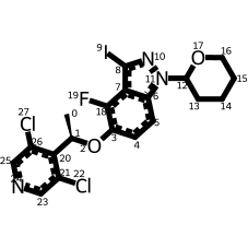 C[C@@H](Oc1ccc2c(c(I)nn2C2CCCCO2)c1F)c1c(Cl)cncc1Cl